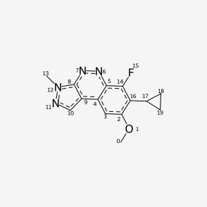 COc1cc2c(nnc3c2cnn3C)c(F)c1C1CC1